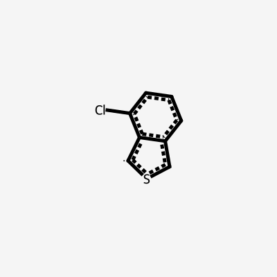 Clc1cccc2cs[c]c12